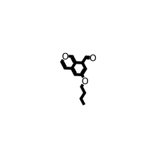 CCCCOC1=CC(C=O)C2=COC=CC2=C1